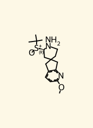 COc1ccc2c(n1)CC1(CCN(N)[C@H]([S+]([O-])C(C)(C)C)C1)C2